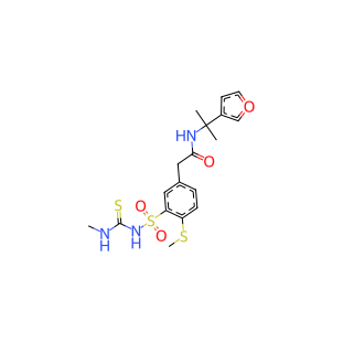 CNC(=S)NS(=O)(=O)c1cc(CC(=O)NC(C)(C)c2ccoc2)ccc1SC